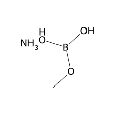 COB(O)O.N